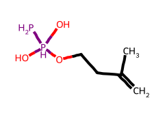 C=C(C)CCO[PH](O)(O)P